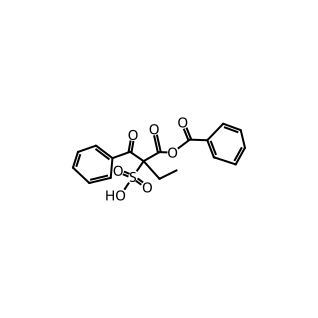 CCC(C(=O)OC(=O)c1ccccc1)(C(=O)c1ccccc1)S(=O)(=O)O